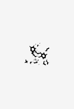 C=CCOc1c(C)c(OCC=C)c(OCC=C)c2c1C[C@H]1[C@@H]3c4c(cc(C)c(OC)c4OCOC)C[C@H]([C@H](C#N)N1[C@H]2CNC(=O)[C@H](C)NC(=O)OC(C)(C)C)N3C